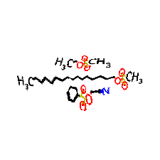 CCCCCCCCCCCCCCCCOS(C)(=O)=O.CCOS(C)(=O)=O.N#CCOS(=O)(=O)c1ccccc1